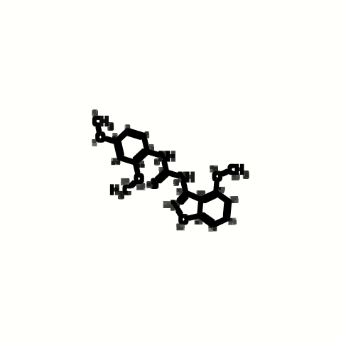 COc1ccc(NC(=S)Nc2noc3cccc(OC)c23)c(OC)c1